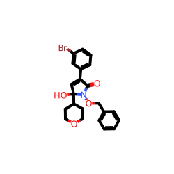 O=C1C(c2cccc(Br)c2)=CC(O)(C2CCOCC2)N1OCc1ccccc1